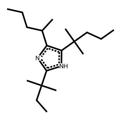 CCCC(C)c1nc(C(C)(C)CC)[nH]c1C(C)(C)CCC